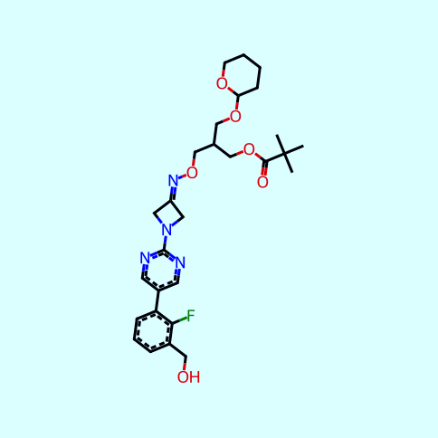 CC(C)(C)C(=O)OCC(CON=C1CN(c2ncc(-c3cccc(CO)c3F)cn2)C1)COC1CCCCO1